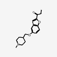 CCC(=O)c1cc2cc(OCC3CCN(C)CC3)ccc2o1